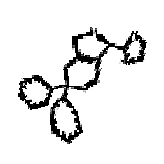 C1=CC(c2ccccc2)(c2ccccc2)CC2=C1C(c1ncc[nH]1)=NC2